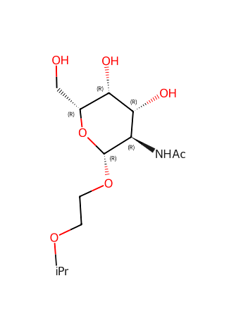 CC(=O)N[C@H]1[C@H](OCCOC(C)C)O[C@H](CO)[C@H](O)[C@@H]1O